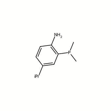 CC(C)c1ccc(N)c(P(C)C)c1